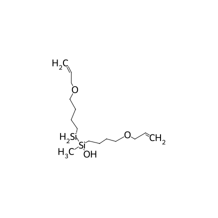 C=CCOCCCC[SiH2][Si](C)(O)CCCCOCC=C